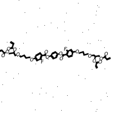 C=CC(=O)OCC(COCCCCOc1ccc(C(=O)Oc2ccc(OC(=O)c3ccc(OCCCCOCC(COC(=O)C=C)OC(=O)C=C)cc3F)cc2)c(F)c1)OC(=O)C=C